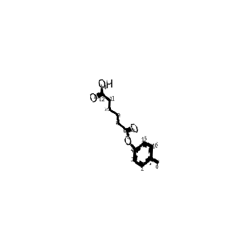 Cc1ccc(OC(=O)CCCCC(=O)O)cc1